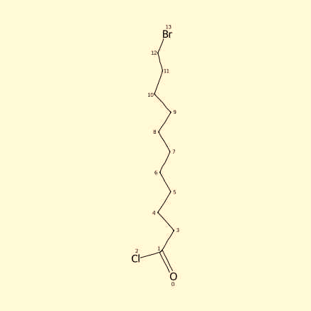 O=C(Cl)CCCCCCCCCCBr